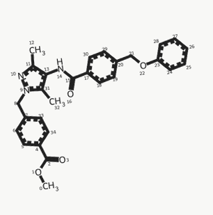 COC(=O)c1ccc(Cn2nc(C)c(NC(=O)c3ccc(COc4ccccc4)cc3)c2C)cc1